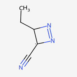 CCC1N=N[C]1C#N